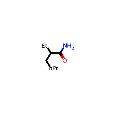 C[CH]CCC(CC)C(N)=O